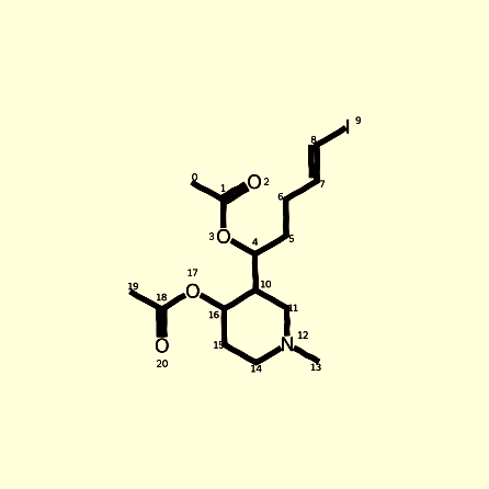 CC(=O)OC(CCC=CI)C1CN(C)CCC1OC(C)=O